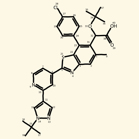 Cc1cc2nc(-c3ccnc(-c4cnn(C(C)(C)C)c4)c3)sc2c(-c2ccc(Cl)cc2)c1C(OC(C)(C)C)C(=O)O